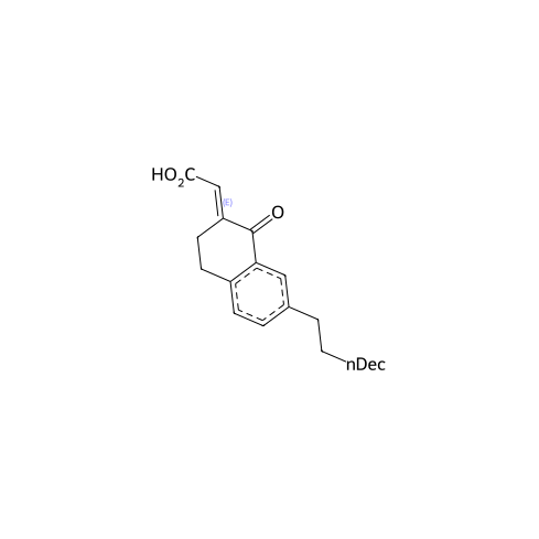 CCCCCCCCCCCCc1ccc2c(c1)C(=O)/C(=C/C(=O)O)CC2